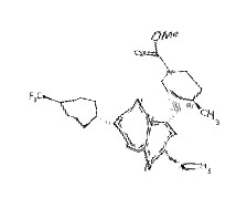 COC(=O)N1CC[C@@H](C)[C@H](c2cc(C)nc3cc([C@H]4CC[C@H](C(F)(F)F)CC4)nn23)C1